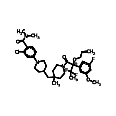 C=CCO[C@@](C(=O)N1CCC(C)(CC2CCN(c3ccc(C(=O)N(C)C)c(Cl)c3)CC2)CC1)(c1cc(F)cc(OC)c1)C(C)(F)F